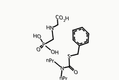 CCCN(CCC)C(=O)SCc1ccccc1.O=C(O)CNCP(=O)(O)O